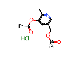 Cc1ncc(COC(=O)C(C)C)cc1OC(=O)C(C)C.Cl